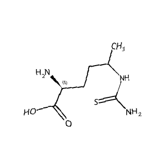 CC(CC[C@H](N)C(=O)O)NC(N)=S